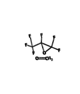 C=O.FC(F)(F)C1(F)OC1(F)F